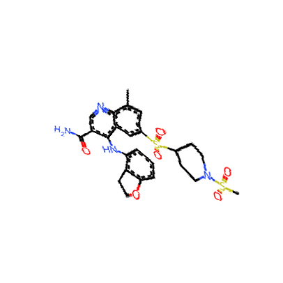 Cc1cc(S(=O)(=O)C2CCN(S(C)(=O)=O)CC2)cc2c(Nc3cccc4c3CCO4)c(C(N)=O)cnc12